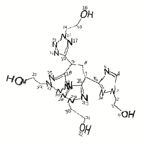 OCCn1cnc(C(CC(c2nnn(CCO)n2)c2nnn(CCO)n2)c2nnn(CCO)n2)n1